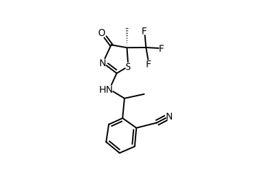 CC(NC1=NC(=O)[C@@](C)(C(F)(F)F)S1)c1ccccc1C#N